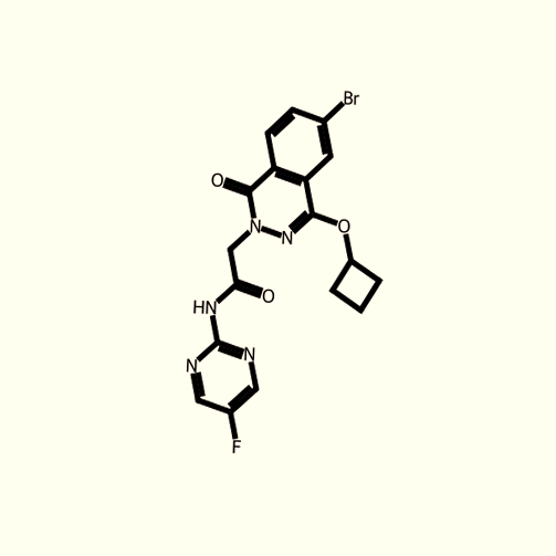 O=C(Cn1nc(OC2CCC2)c2cc(Br)ccc2c1=O)Nc1ncc(F)cn1